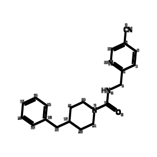 N#Cc1ccc(CNC(=O)N2CCC(Cc3ccccc3)CC2)nc1